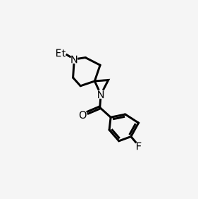 CCN1CCC2(CC1)CN2C(=O)c1ccc(F)cc1